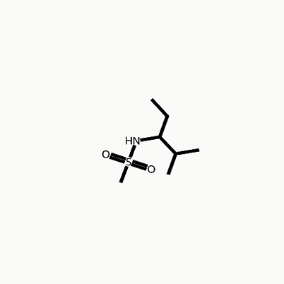 CCC(NS(C)(=O)=O)C(C)C